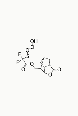 O=C1OC2C(COC(=O)C(F)(F)SOOO)C3CC1C2C3